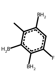 Bc1cc(F)c(B)c(B)c1C